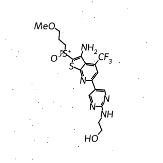 COCCC[S@@+]([O-])c1sc2nc(-c3cnc(NCCO)nc3)cc(C(F)(F)F)c2c1N